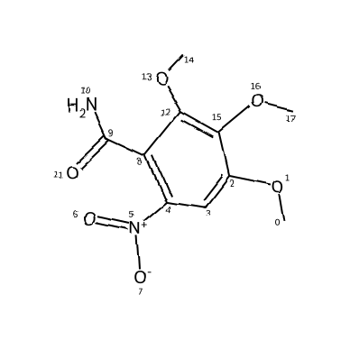 COc1cc([N+](=O)[O-])c(C(N)=O)c(OC)c1OC